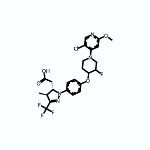 COc1cc(N2CCC(Oc3ccc(N4N=C(C(F)(F)F)[C@@H](C)[C@@H]4CC(=O)O)cc3)C(F)C2)c(Cl)cn1